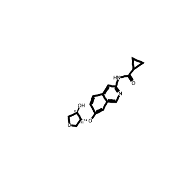 O=C(Nc1cc2ccc(O[C@@H]3COC[C@H]3O)cc2cn1)C1CC1